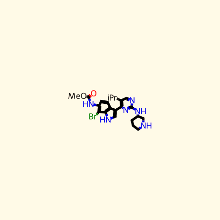 COC(=O)Nc1ccc2c(-c3nc(NC4CCCNC4)ncc3C(C)C)c[nH]c2c1Br